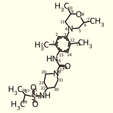 Cc1cc(N2CC(C)OC(C)C2)c(C)cc1NC(=O)N1CCC(NS(=O)(=O)C(C)C)CC1